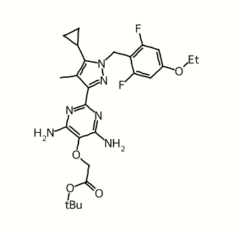 CCOc1cc(F)c(Cn2nc(-c3nc(N)c(OCC(=O)OC(C)(C)C)c(N)n3)c(C)c2C2CC2)c(F)c1